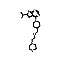 CC(C)c1cc2c(N3CCC(COCCN4CCOCC4)CC3)ncnc2s1